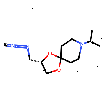 C=[N+]=NC[C@H]1COC2(CCN(C(C)C)CC2)O1